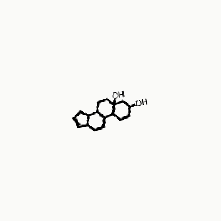 OC1CCC2C3CCC4C=CCC4C3CCC2(O)C1